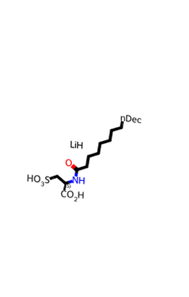 CCCCCCCCCCCCCCCCCC(=O)N[C@H](CS(=O)(=O)O)C(=O)O.[LiH]